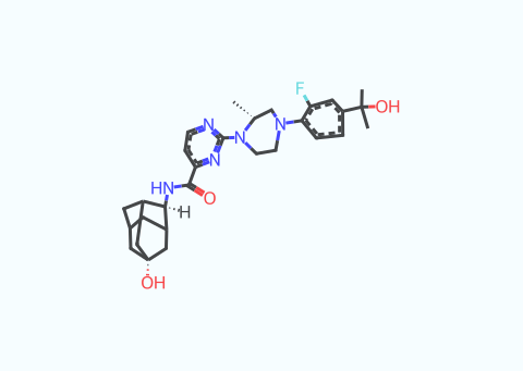 C[C@@H]1CN(c2ccc(C(C)(C)O)cc2F)CCN1c1nccc(C(=O)N[C@H]2C3CC4CC2C[C@](O)(C4)C3)n1